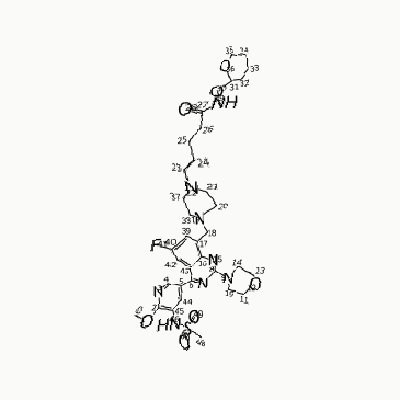 COc1ncc(-c2nc(N3CCOCC3)nc3c(CN4CCN(CCCCC(=O)NOC5CCCCO5)CC4)cc(F)cc23)cc1NS(C)(=O)=O